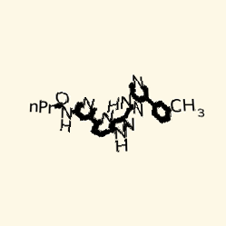 CCCC(=O)Nc1cncc(-c2ccc3[nH]nc(-c4nc5c(-c6cccc(C)c6)cncc5[nH]4)c3n2)c1